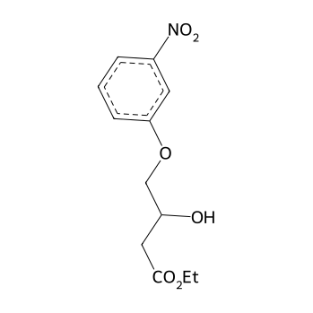 CCOC(=O)CC(O)COc1cccc([N+](=O)[O-])c1